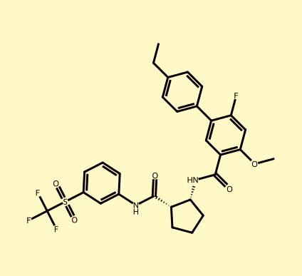 CCc1ccc(-c2cc(C(=O)N[C@@H]3CCC[C@@H]3C(=O)Nc3cccc(S(=O)(=O)C(F)(F)F)c3)c(OC)cc2F)cc1